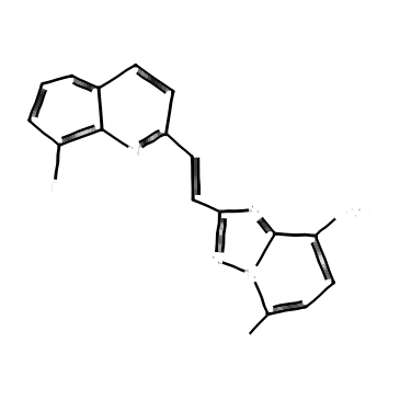 COc1ccc(C)n2nc(C=Cc3ccc4cccc(F)c4n3)nc12